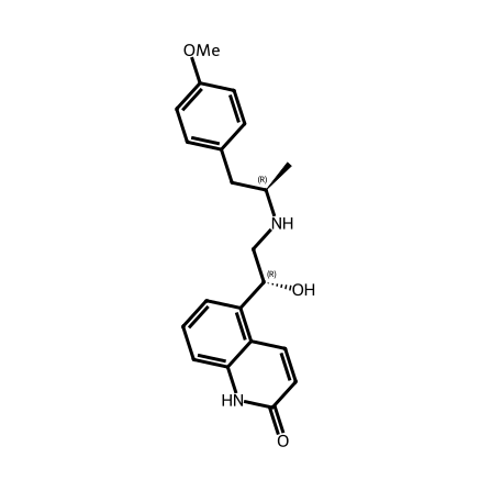 COc1ccc(C[C@@H](C)NC[C@H](O)c2cccc3[nH]c(=O)ccc23)cc1